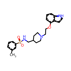 Cc1cccc(S(=O)(=O)NCC2CCN(CCOc3cccc4[nH]ccc34)CC2)c1